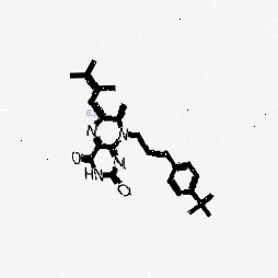 C=c1/c(=C\C(C)=C(C)C)nc2c(=O)[nH]c(=O)nc-2n1CCCc1ccc(C(C)(C)C)cc1